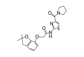 CC1(C)Cc2cccc(OCC(=O)Nc3nc(C(=O)N4CCCC4)cs3)c2O1